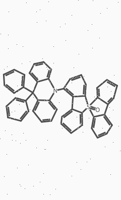 O=S12(c3ccccc3-c3ccccc31)c1ccccc1-c1c(N3c4ccccc4C(c4ccccc4)(c4ccccc4)c4ccccc43)cccc12